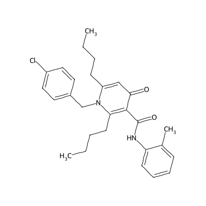 CCCCc1cc(=O)c(C(=O)Nc2ccccc2C)c(CCCC)n1Cc1ccc(Cl)cc1